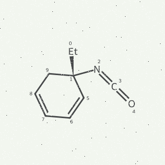 CC[C@@]1(N=C=O)C=CC=CC1